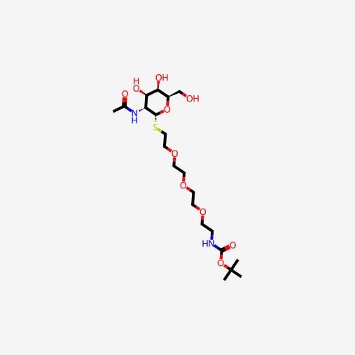 CC(=O)N[C@@H]1[C@@H](O)[C@@H](O)[C@@H](CO)O[C@@H]1SCCOCCOCCOCCNC(=O)OC(C)(C)C